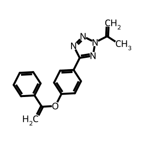 C=C(Oc1ccc(-c2nnn(C(=C)C)n2)cc1)c1ccccc1